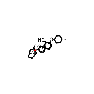 CC(c1ccc2ccc(O[C@H]3CC[C@@H](C)CC3)c(C#N)c2c1)N1C2CCC1CC(C(=O)O)C2